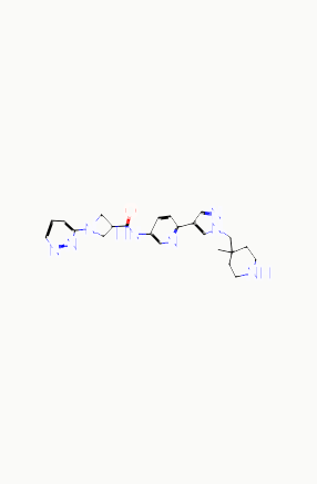 CC1(Cn2cc(-c3ccc(NC(=O)C4CN(c5cccnn5)C4)cn3)cn2)CCNCC1